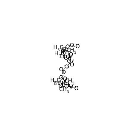 CCC1(C)CC2(OCC(COC(=O)c3ccc(C(=O)OCC4COC5(CC(C)(CC)N(OC(C)c6ccc(OCC7CO7)cc6)C(C)(CC)C5C)O4)cc3)O2)C(C)C(C)(CC)N1OC(C)c1ccc(OCC2CO2)cc1